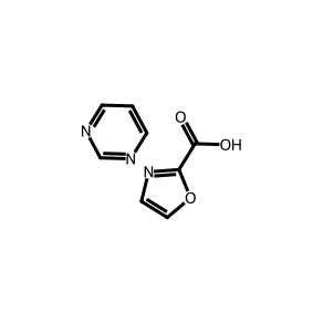 O=C(O)c1ncco1.c1cncnc1